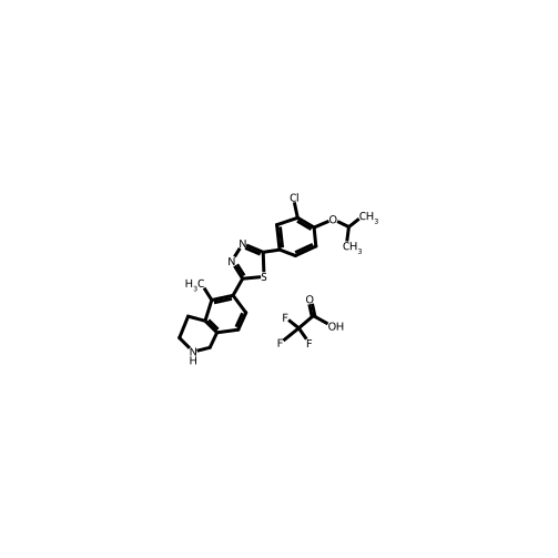 Cc1c(-c2nnc(-c3ccc(OC(C)C)c(Cl)c3)s2)ccc2c1CCNC2.O=C(O)C(F)(F)F